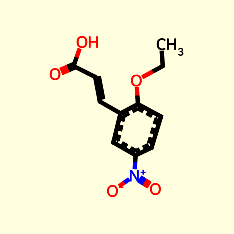 CCOc1ccc([N+](=O)[O-])cc1/C=C/C(=O)O